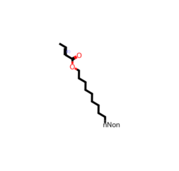 C/C=C/C(=O)OCCCCCCCCCCCCCCCCCC